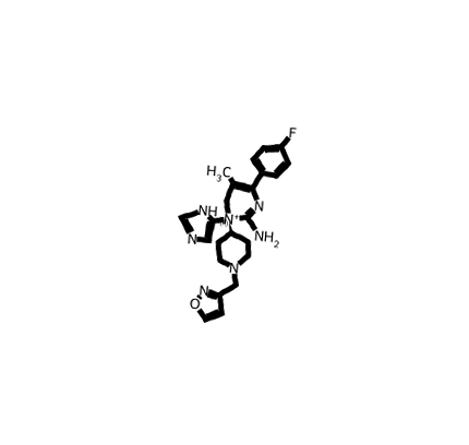 CC1=C(c2ccc(F)cc2)N=C(N)[N@@+](c2cnc[nH]2)(C2CCN(Cc3ccon3)CC2)C1